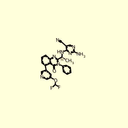 C[C@H](Nc1nc(N)ncc1C#N)c1nc2cccc(-c3cncc(OC(F)F)c3)c2c(=O)n1-c1ccccc1